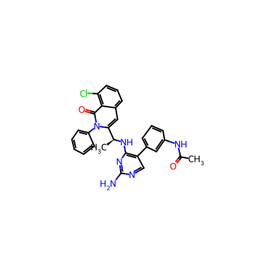 CC(=O)Nc1cccc(-c2cnc(N)nc2N[C@@H](C)c2cc3cccc(Cl)c3c(=O)n2-c2ccccc2)c1